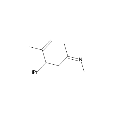 C=C(C)C(C/C(C)=N\C)C(C)C